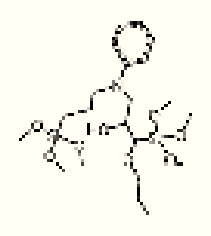 CCCOC(C(O)CN(CCC[Si](OC)(OC)OC)c1ccccc1)[Si](OC)(OC)OC